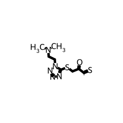 CN(C)CCn1nnnc1SCC(=O)[C]=S